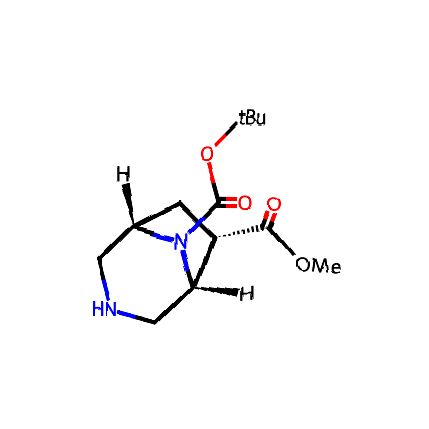 COC(=O)[C@H]1C[C@H]2CNC[C@@H]1N2C(=O)OC(C)(C)C